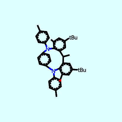 Cc1ccc(N2c3ccc(cc3)N(c3ccc(C)cc3)c3c(C)cc(C(C)(C)C)cc3C(C)c3cc(C(C)(C)C)cc(C)c32)cc1